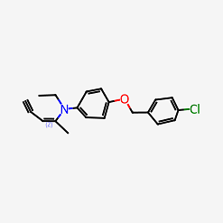 C#C/C=C(/C)N(CC)c1ccc(OCc2ccc(Cl)cc2)cc1